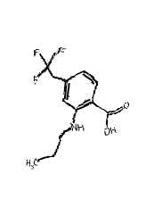 CCCNc1cc(C(F)(F)F)ccc1C(=O)O